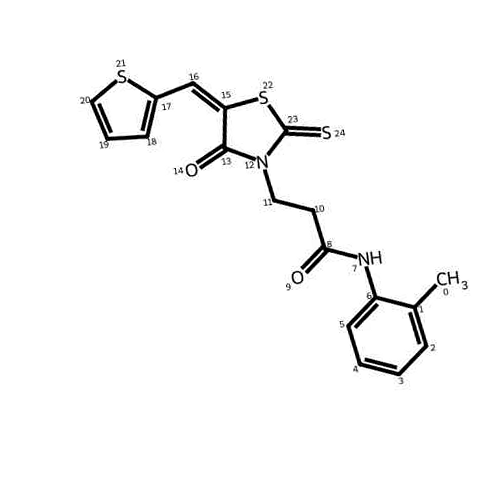 Cc1ccccc1NC(=O)CCN1C(=O)/C(=C\c2cccs2)SC1=S